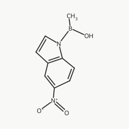 CB(O)n1ccc2cc([N+](=O)[O-])ccc21